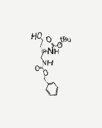 CC(C)(C)OC(=O)N[C@@H](CCO)CNC(=O)OCc1ccccc1